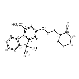 O=C(O)c1cc(OCCN2CCCOC2=O)cc2c1-c1ccccc1C2(O)C(F)(F)F